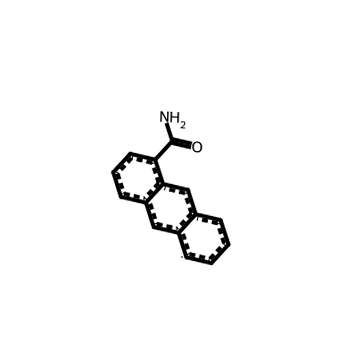 NC(=O)c1cccc2cc3[c]cccc3cc12